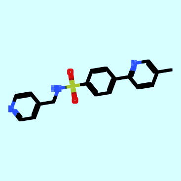 Cc1ccc(-c2ccc(S(=O)(=O)NCc3ccncc3)cc2)nc1